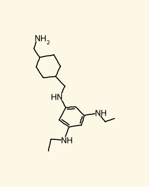 CCNc1cc(NCC)cc(NCC2CCC(CN)CC2)c1